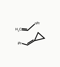 C=CCCC.CC(C)C=C1CC1